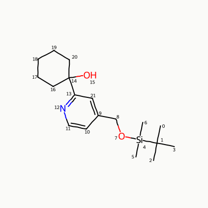 CC(C)(C)[Si](C)(C)OCc1ccnc(C2(O)CCCCC2)c1